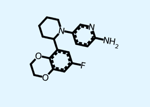 Nc1ccc(N2CCCCC2c2cc(F)cc3c2OCCO3)cn1